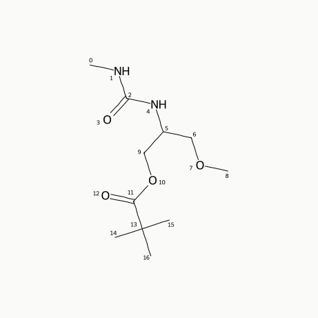 CNC(=O)NC(COC)COC(=O)C(C)(C)C